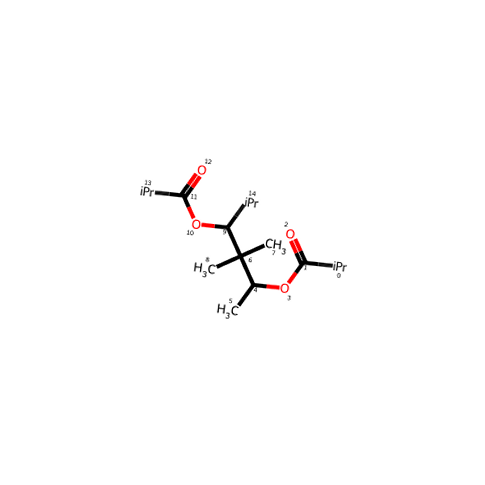 CC(C)C(=O)OC(C)C(C)(C)C(OC(=O)C(C)C)C(C)C